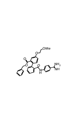 COCCOc1ccc(-c2ccccc2C(=O)Nc2ccc(C(=N)N)cc2)c(C(=O)OCc2ccccc2)c1